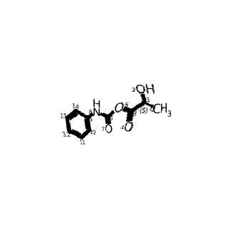 C[C@H](O)C(=O)OC(=O)Nc1ccccc1